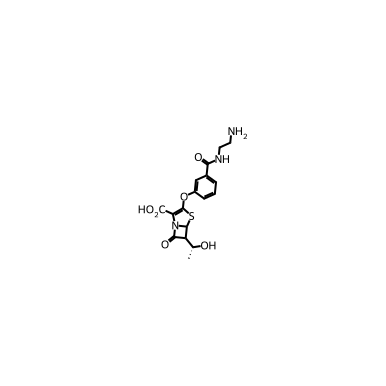 C[C@@H](O)C1C(=O)N2C(C(=O)O)=C(Oc3cccc(C(=O)NCCN)c3)SC12